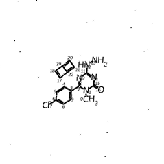 Cn1c(-c2ccc(Cl)cc2)nc(NN)nc1=O.c1cc2ccc1-2